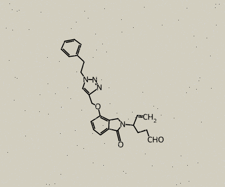 C=CC(CCC=O)N1Cc2c(OCc3cn(CCc4ccccc4)nn3)cccc2C1=O